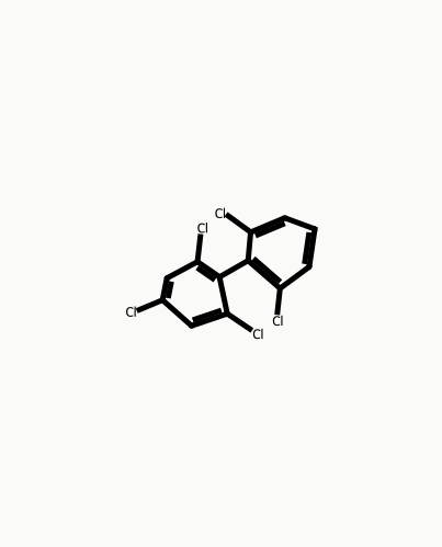 Clc1cc(Cl)c(-c2c(Cl)cccc2Cl)c(Cl)c1